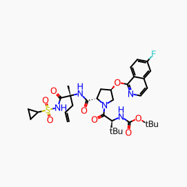 C=CC[C@@](C)(NC(=O)[C@@H]1C[C@@H](Oc2nccc3cc(F)ccc23)CN1C(=O)[C@@H](NC(=O)OC(C)(C)C)C(C)(C)C)C(=O)NS(=O)(=O)C1CC1